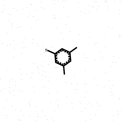 Cc1cc(C)c[c]([Ti])c1